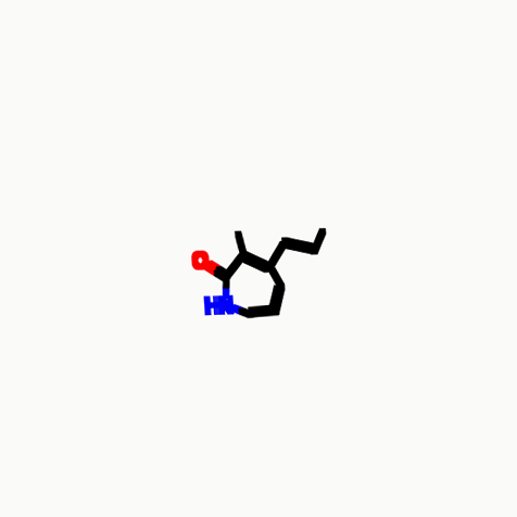 C/C=C/C1=C(C)C(=O)NC=C=C1